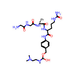 CC(C)[C@H](NC(=O)CNC(=O)CN)C(=O)NC(CCCNC(N)=O)C(=O)Nc1ccc(COC(O)N(C)CCN(C)C)cc1